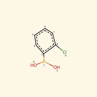 OP(O)c1ccccc1Cl